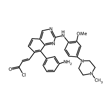 COc1cc(N2CCN(C)CC2)ccc1Nc1ncc2ccc(/C=C/C(=O)Cl)c(-c3cccc(N)c3)c2n1